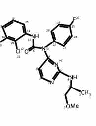 COC[C@H](C)Nc1nccc(N(C(=O)Nc2cccc(Cl)c2Cl)c2ccc(F)cc2)n1